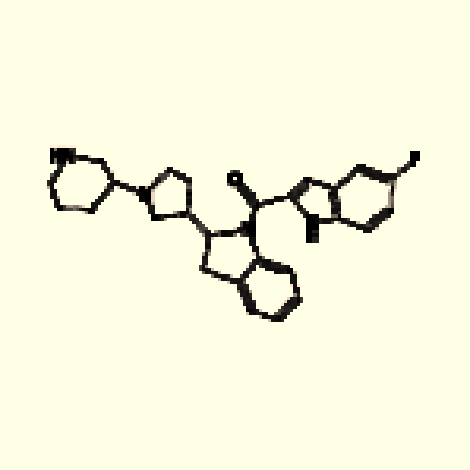 O=C(c1cc2cc(F)ccc2[nH]1)N1c2ccccc2CC1C1CCN(C2CCCNC2)C1